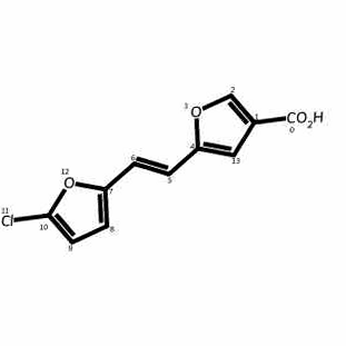 O=C(O)c1coc(/C=C/c2ccc(Cl)o2)c1